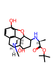 C[C@H](NC1CC[C@@]2(O)[C@H]3Cc4ccc(O)c5c4[C@@]2(CCN3C)C1O5)C(=O)OC(C)(C)C